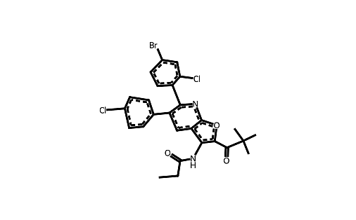 CCC(=O)Nc1c(C(=O)C(C)(C)C)oc2nc(-c3ccc(Br)cc3Cl)c(-c3ccc(Cl)cc3)cc12